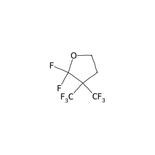 FC(F)(F)C1(C(F)(F)F)CCOC1(F)F